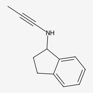 CC#CNC1CCc2ccccc21